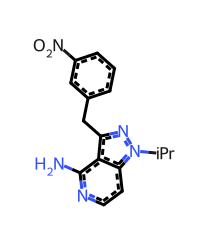 CC(C)n1nc(Cc2cccc([N+](=O)[O-])c2)c2c(N)nccc21